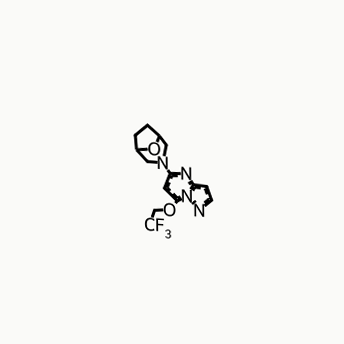 FC(F)(F)COc1cc(N2CC3CCC(C2)O3)nc2ccnn12